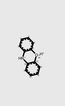 [H+].[c]1cccc2c1Nc1ccccc1O2